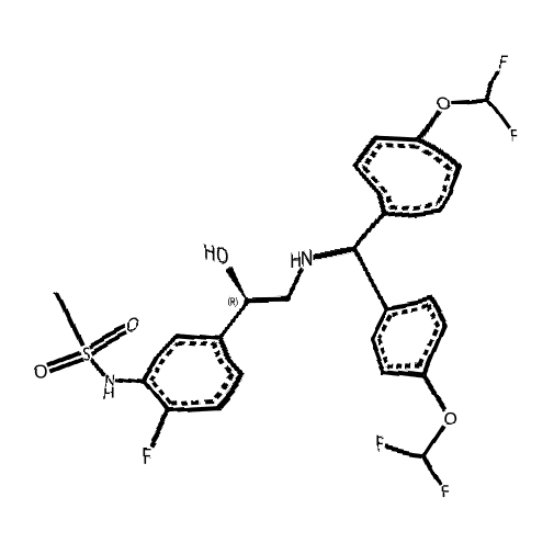 CS(=O)(=O)Nc1cc([C@@H](O)CNC(c2ccc(OC(F)F)cc2)c2ccc(OC(F)F)cc2)ccc1F